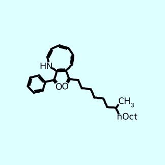 CCCCCCCCC(C)CCCCCCC(=O)c1cccccc[nH]c1C(=O)c1ccccc1